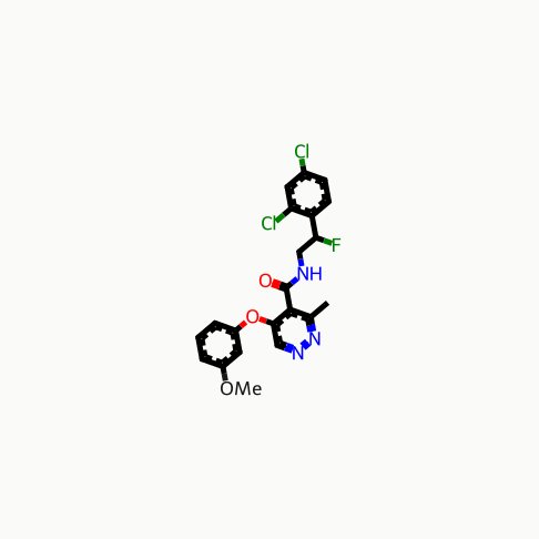 COc1cccc(Oc2cnnc(C)c2C(=O)NCC(F)c2ccc(Cl)cc2Cl)c1